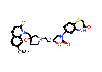 COc1ccc2ccc(=O)n(CC3(O)CCN(CC[C@@H]4CN(c5ccc6c(c5)NC(=O)CS6)C(=O)O4)C3)c2c1